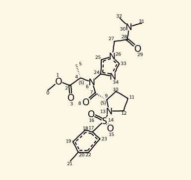 COC(=O)[C@H](C)N(C(=O)[C@@H]1CCCN1S(=O)(=O)c1ccc(C)cc1)c1cn(CC(=O)N(C)C)cn1